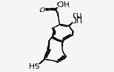 O=C(O)c1cc2cc(S)ccc2cc1S